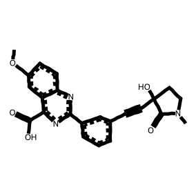 COc1ccc2nc(-c3cccc(C#CC4(O)CCN(C)C4=O)c3)nc(C(=O)O)c2c1